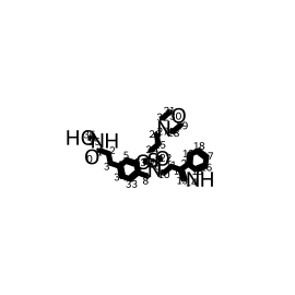 O=C(CCc1ccc(CN(CCc2c[nH]c3ccccc23)S(=O)(=O)CCCN2CCOCC2)cc1)NO